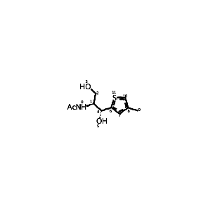 CC(=O)N[C@@H](CO)[C@@H](O)c1cc(C)cs1